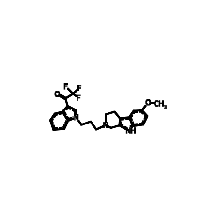 COc1ccc2[nH]c3c(c2c1)CCN(CCCn1cc(C(=O)C(F)(F)F)c2ccccc21)C3